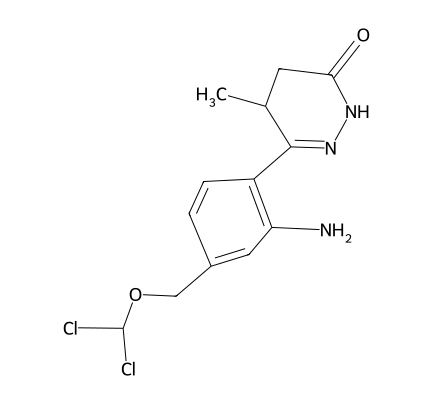 CC1CC(=O)NN=C1c1ccc(COC(Cl)Cl)cc1N